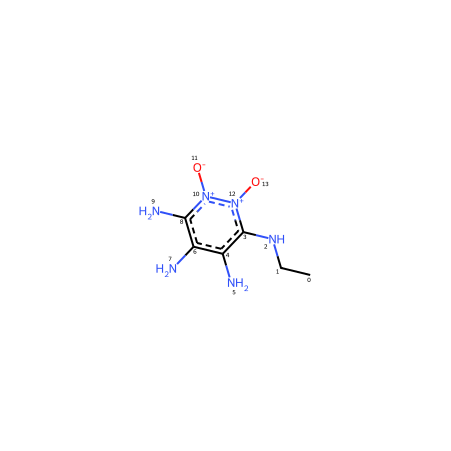 CCNc1c(N)c(N)c(N)[n+]([O-])[n+]1[O-]